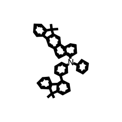 CC1(C)c2ccccc2-c2cc3ccc4c(N(c5ccccc5)c5cccc(-c6cccc7c6-c6ccccc6C7(C)C)c5)cccc4c3cc21